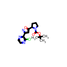 CC(C)(C)OC(=O)N1CCCC1c1cc(-c2nccnc2Cl)no1